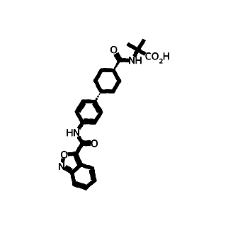 CC(C)(NC(=O)[C@H]1CC[C@H](c2ccc(NC(=O)c3onc4ccccc34)cc2)CC1)C(=O)O